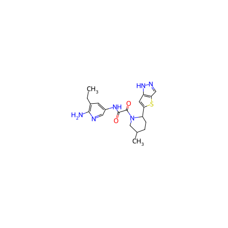 CCc1cc(NC(=O)C(=O)N2CC(C)CCC2c2cc3[nH]ncc3s2)cnc1N